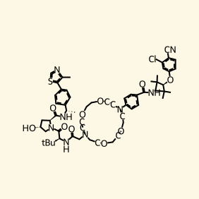 Cc1ncsc1-c1ccc([C@H](C)NC(=O)[C@@H]2C[C@@H](O)CN2C(=O)[C@@H](NC(=O)CN2CCOCCOCCN(c3ccc(C(=O)N[C@H]4C(C)(C)[C@H](Oc5ccc(C#N)c(Cl)c5)C4(C)C)cc3)CCOCCOCC2)C(C)(C)C)cc1